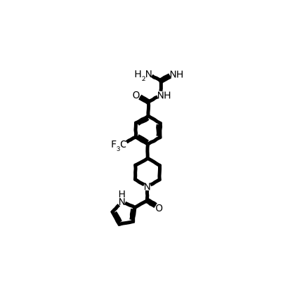 N=C(N)NC(=O)c1ccc(C2CCN(C(=O)c3ccc[nH]3)CC2)c(C(F)(F)F)c1